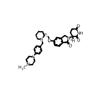 [2H]C1(N2Cc3cc(OC[C@H]4CCCCN4Cc4ccc(N5CCN(C)CC5)cc4)ccc3C2=O)CCC(=O)NC1=O